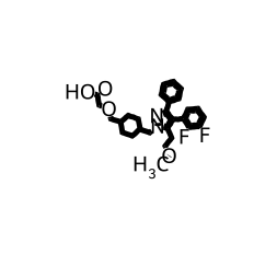 COCCc1c(-c2cccc(F)c2F)c(-c2ccccc2)nn1CC1CCC(COCC(=O)O)CC1